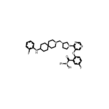 CC(C)N(C(=O)c1cc(F)ccc1Oc1cncnc1N1CC[C@@H](CN2CCC3(CCC(Nc4ccccc4F)CC3)CC2)C1)C(C)C